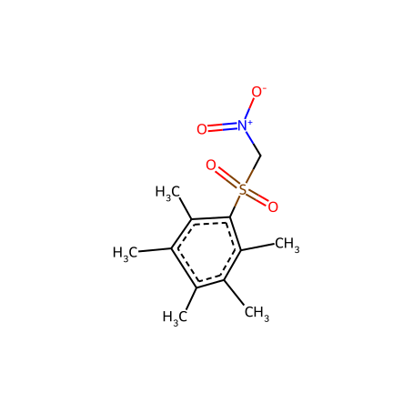 Cc1c(C)c(C)c(S(=O)(=O)C[N+](=O)[O-])c(C)c1C